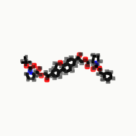 CC(C)(C)OC(=O)N1CCC[C@H]1C(=O)OCC(=O)c1ccc2c(c1)COc1c-2ccc2cc(C(=O)COC(=O)[C@@H]3CCCN3C(=O)OCc3ccccc3)ccc12